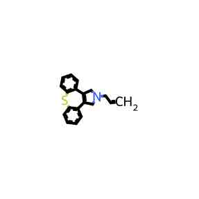 C=CCN1CC2=C(C1)c1ccccc1Sc1ccccc12